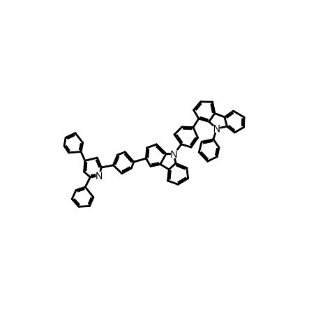 c1ccc(-c2cc(-c3ccccc3)nc(-c3ccc(-c4ccc5c(c4)c4ccccc4n5-c4ccc(-c5cccc6c7ccccc7n(-c7ccccc7)c56)cc4)cc3)c2)cc1